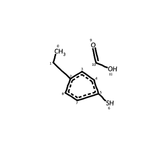 CCc1ccc(S)cc1.O=CO